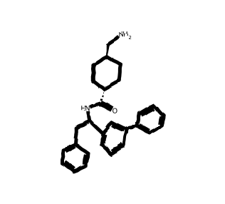 NC[C@H]1CC[C@H](C(=O)NC(Cc2ccccc2)c2cccc(-c3ccccc3)c2)CC1